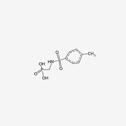 Cc1ccc(S(=O)(=O)NCP(=O)(O)O)cc1